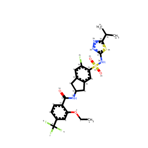 CCOc1cc(C(F)(F)F)ccc1C(=O)NC1Cc2cc(F)c(S(=O)(=O)Nc3nnc(C(C)C)s3)cc2C1